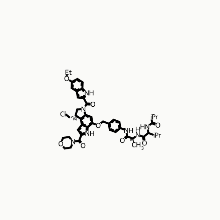 CCOc1ccc2[nH]c(C(=O)N3C[C@@H](CCl)c4c3cc(OCc3ccc(NC(=O)[C@@H](C)NC(=O)C(NC(=O)C(C)C)C(C)C)cc3)c3[nH]c(C(=O)N5CCOCC5)cc43)cc2c1